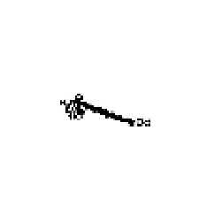 CCCCCCCCC=CCCCCCCCCCCCCC(C(N)=O)C(C)CO